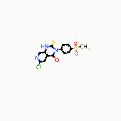 CS(=O)(=O)c1ccc(-n2c(=S)[nH]c3cnc(Cl)cc3c2=O)cc1